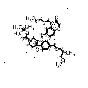 COCCCN1C(=O)COc2ccc(CO[C@H]3CN(C(=O)OC(C)(C)C)CC[C@]3(O)c3ccc(COC[C@@H](C)COC)cc3)cc21